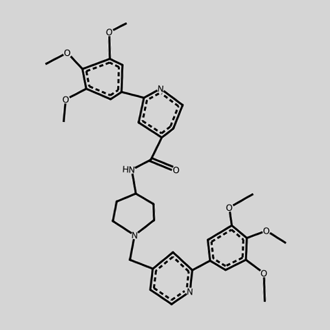 COc1cc(-c2cc(CN3CCC(NC(=O)c4ccnc(-c5cc(OC)c(OC)c(OC)c5)c4)CC3)ccn2)cc(OC)c1OC